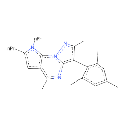 CCCc1cc2c(C)nc3c(-c4c(C)cc(C)cc4C)c(C)nn3c2n1CCC